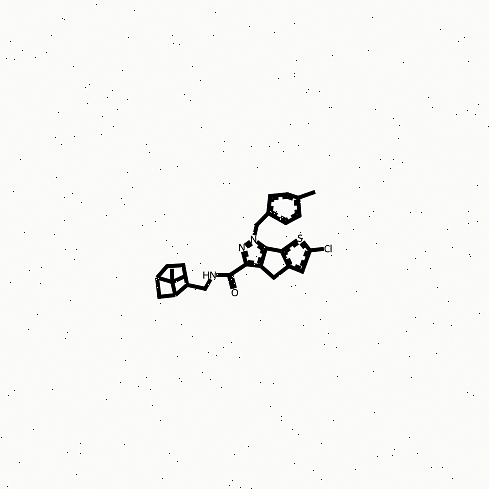 Cc1ccc(Cn2nc(C(=O)NCC3CCC4CC3C4(C)C)c3c2-c2sc(Cl)cc2C3)cc1